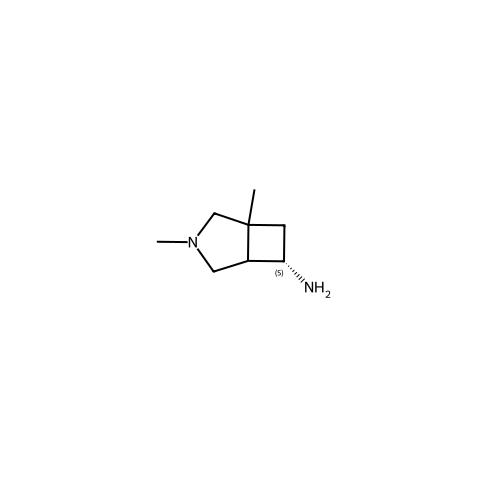 CN1CC2[C@@H](N)CC2(C)C1